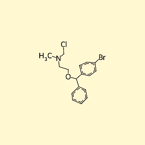 CN(CCl)CCOC(c1ccccc1)c1ccc(Br)cc1